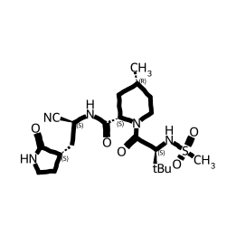 C[C@@H]1CCN(C(=O)[C@@H](NS(C)(=O)=O)C(C)(C)C)[C@H](C(=O)N[C@H](C#N)C[C@@H]2CCNC2=O)C1